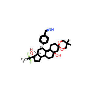 CC1(C)COC2(CCC3=C4C(CCC3(O)C2)C2CC[C@@](O)(C(F)(F)C(F)(F)F)[C@@]2(C)C[C@@H]4c2ccc(C=N)cc2)OC1